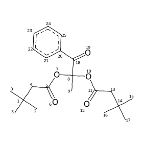 CC(C)(C)CC(=O)OC(C)(OC(=O)CC(C)(C)C)C(=O)c1ccccc1